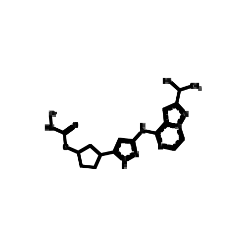 CC(C)NC(=O)OC1CCC(c2cc(Nc3nccn4nc(C(C)S)cc34)n[nH]2)C1